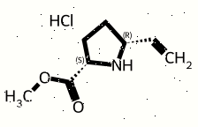 C=C[C@H]1CC[C@@H](C(=O)OC)N1.Cl